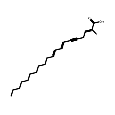 CCCCCCCCCCC=CC=CC#CCC=C(F)C(=O)O